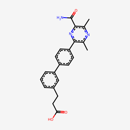 Cc1nc(C)c(-c2ccc(-c3cccc(CCC(=O)O)c3)cc2)nc1C(N)=O